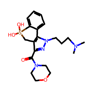 CN(C)CCCn1nc(C(=O)N2CCOCC2)c2c1-c1ccccc1S(O)(O)C2